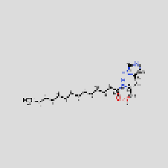 CCCCCCCCCCCCCC(=O)N[C@@H]([C]=O)Cc1cnc[nH]1